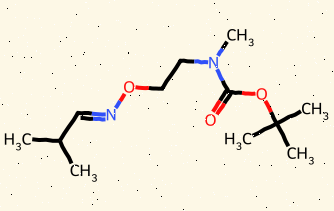 CC(C)/C=N/OCCN(C)C(=O)OC(C)(C)C